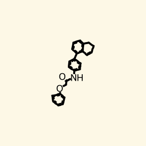 O=C(COc1ccccc1)Nc1ccc(-c2cccc3c2C=CCC3)cc1